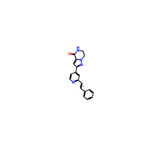 O=C1NCCn2nc(-c3ccnc(/C=C/c4ccccc4)c3)cc21